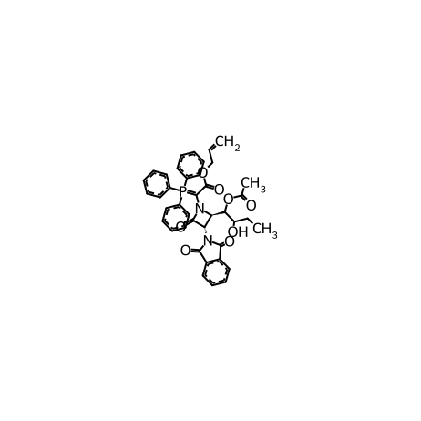 C=CCOC(=O)C(N1C(=O)[C@@H](N2C(=O)c3ccccc3C2=O)[C@@H]1C(OC(C)=O)C(O)CC)=P(c1ccccc1)(c1ccccc1)c1ccccc1